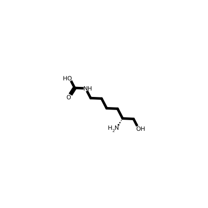 N[C@@H](CO)CCCCNC(=O)O